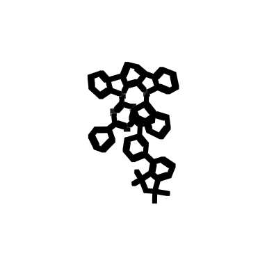 CC1(C)CC(C)(C)c2c(-c3cccc(-c4ccc(-n5c6ccccc6c6ccc7c8ccccc8n(-c8nc(-c9ccccc9)nc(-c9ccccc9)n8)c7c65)cc4)c3)cccc21